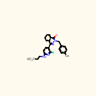 CCOC(=O)CCNc1ccc(-c2nn(Cc3ccc(C#N)cc3)c(=O)c3ccccc23)c(F)n1